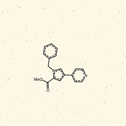 COC(=O)c1cc(-c2ccncc2)cn1Cc1ccccc1